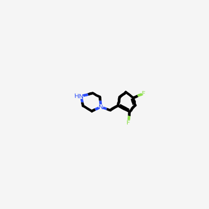 FC1=CC(F)=C(CN2CCNCC2)CC1